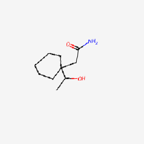 CC(O)C1(CC(N)=O)CCCCC1